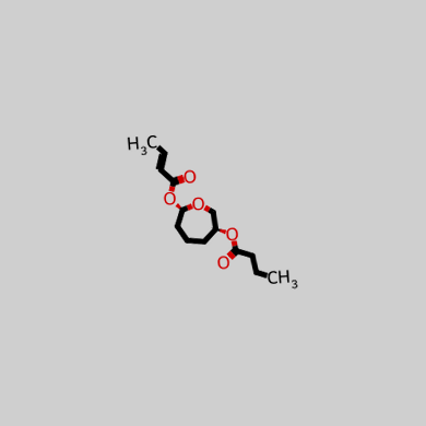 C/C=C/C(=O)O[C@@H]1CCC[C@H](OC(=O)CCC)CO1